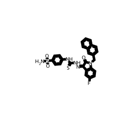 NS(=O)(=O)c1ccc(NC(=S)NN=C2C(=O)N(Cc3ccc4ccccc4c3)c3ccc(F)cc32)cc1